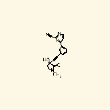 CN1CC[C@@](O)(C#Cc2cccc(-c3ccnc(C#N)n3)c2)C1=O